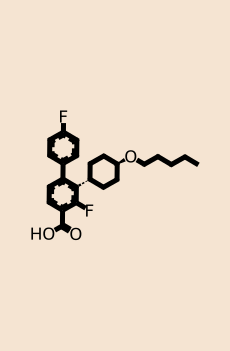 CCCCCO[C@H]1CC[C@H](c2c(-c3ccc(F)cc3)ccc(C(=O)O)c2F)CC1